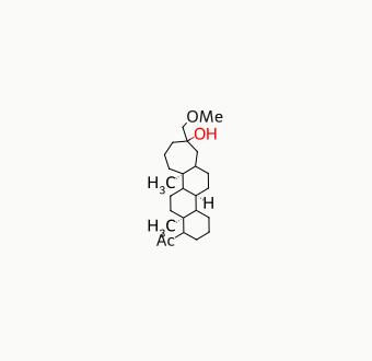 COCC1(O)CCC[C@@]2(C)C(CC[C@@H]3C2CC[C@]2(C)C(C(C)=O)CCCC32)C1